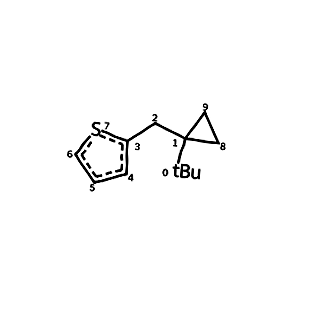 CC(C)(C)C1(Cc2cccs2)CC1